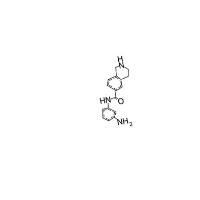 Nc1cccc(NC(=O)c2ccc3c(c2)CCNC3)c1